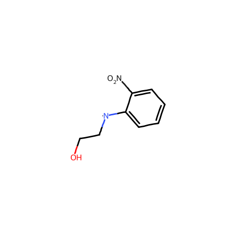 O=[N+]([O-])c1ccccc1[N]CCO